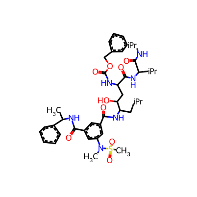 CC(C)CC(NC(=O)c1cc(C(=O)NC(C)c2ccccc2)cc(N(C)S(C)(=O)=O)c1)C(O)CC(NC(=O)OCc1ccccc1)C(=O)NC(C(=O)NC(C)C)C(C)C